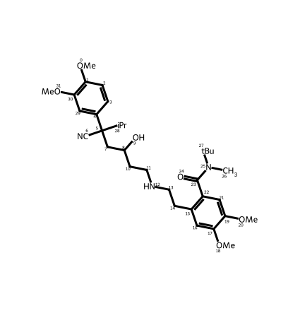 COc1ccc(C(C#N)(CC(O)CCNCCc2cc(OC)c(OC)cc2C(=O)N(C)C(C)(C)C)C(C)C)cc1OC